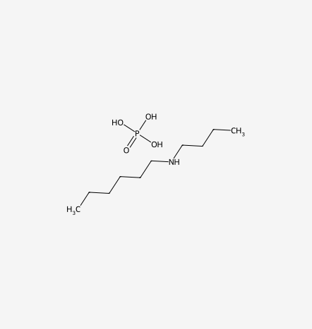 CCCCCCNCCCC.O=P(O)(O)O